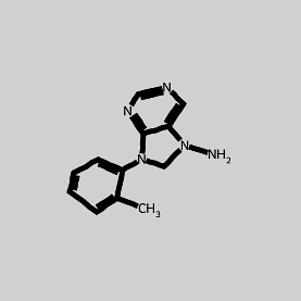 Cc1ccccc1N1CN(N)c2cncnc21